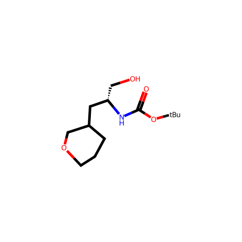 CC(C)(C)OC(=O)N[C@@H](CO)CC1CCCOC1